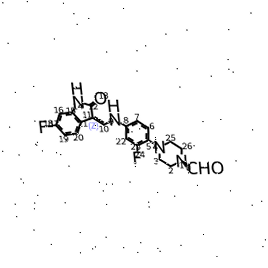 O=CN1CCN(c2ccc(N/C=C3\C(=O)Nc4cc(F)ccc43)cc2F)CC1